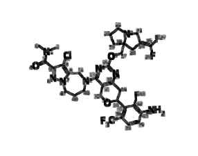 CN(C)C(=O)c1nn2c(c1Cl)CN(c1nc(OCC34CCCN3CC(=C(F)F)C4)nc3c1COC(c1c(C(F)(F)F)ccc(N)c1F)C3)CCC2